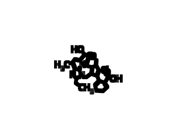 CCc1nc2c(C)cc(C(=O)O)nc2n1Cc1c2ccocc-2c(Cl)c1-c1ccccc1C(=O)O